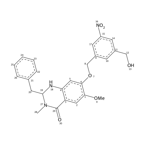 COc1cc2c(cc1OCc1cc(CO)cc([N+](=O)[O-])c1)NC(Cc1ccccc1)N(C)C2=O